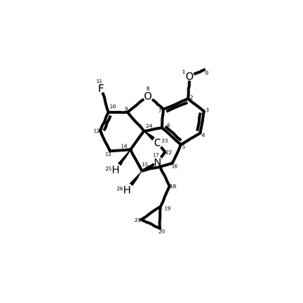 COc1ccc2c3c1OC1C(F)=CC[C@H]4[C@@H](C2)N(CC2CC2)CC[C@]314